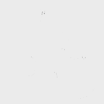 Cc1ccc(CNC(C(=O)OCC2CCN(C)CC2)C2CCCCC2)s1